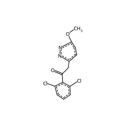 COc1ccc(CC(=O)c2c(Cl)cccc2Cl)nn1